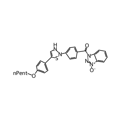 CCCCCOc1ccc(C2=CNN(c3ccc(C(=O)n4n[n+]([O-])c5ccccc54)cc3)S2)cc1